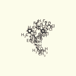 C=CCN(CC=C)C(=O)C(Cl)Cl.CCOCN(C(=O)CCl)c1c(C)cccc1CC.C[S+](C)C.Cc1nn(-c2cc(NS(C)(=O)=O)c(Cl)cc2Cl)c(=O)n1C(F)F.O=C(O)CNCP(=O)([O-])O